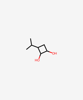 CC(C)C1CC(O)C1O